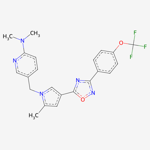 Cc1cc(-c2nc(-c3ccc(OC(F)(F)F)cc3)no2)cn1Cc1ccc(N(C)C)nc1